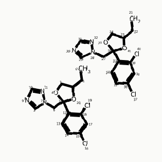 CCC1COC(Cn2cncn2)(c2ccc(Cl)cc2Cl)O1.CCC1COC(Cn2cncn2)(c2ccc(Cl)cc2Cl)O1